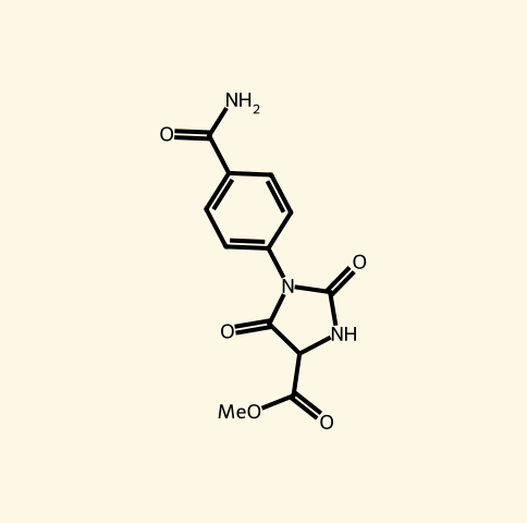 COC(=O)C1NC(=O)N(c2ccc(C(N)=O)cc2)C1=O